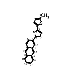 Cc1ccc(-c2ccc(-c3ccc4cc5ccccc5cc4c3)s2)s1